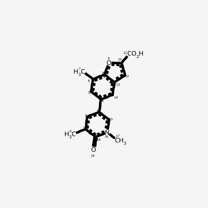 Cc1cc(-c2cc(C)c3oc(C(=O)O)cc3c2)cn(C)c1=O